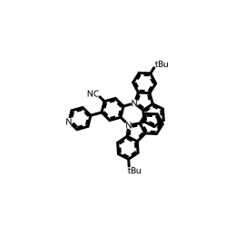 CC(C)(C)c1ccc2c(c1)c1ccccc1n2-c1cc(C#N)c(-c2ccncc2)cc1-n1c2ccccc2c2cc(C(C)(C)C)ccc21